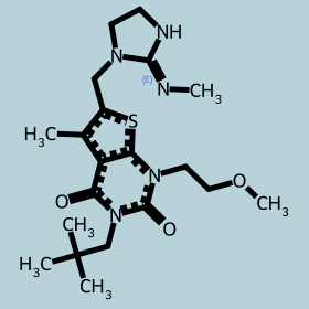 C/N=C1\NCCN1Cc1sc2c(c1C)c(=O)n(CC(C)(C)C)c(=O)n2CCOC